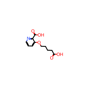 O=C(O)CCCCOc1cccnc1C(=O)O